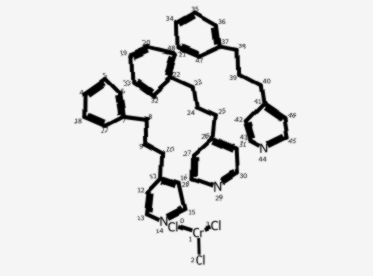 [Cl][Cr]([Cl])[Cl].c1ccc(CCCc2ccncc2)cc1.c1ccc(CCCc2ccncc2)cc1.c1ccc(CCCc2ccncc2)cc1